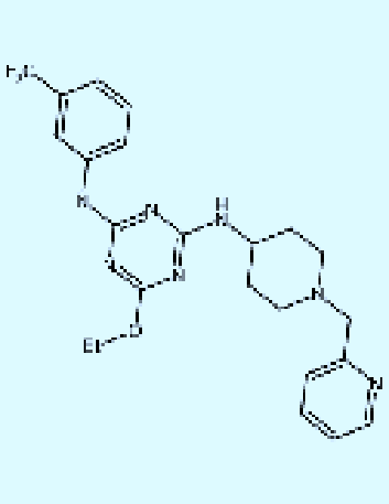 CCOc1nc(Nc2cccc(C(F)(F)F)c2)nc(NC2CCN(Cc3ccccn3)CC2)n1